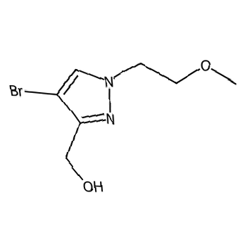 COCCn1cc(Br)c(CO)n1